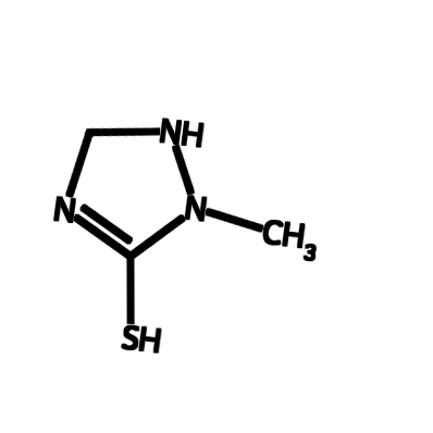 CN1NCN=C1S